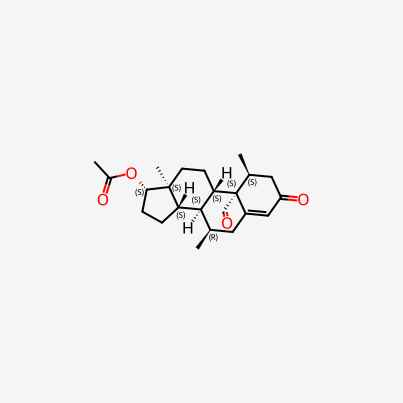 CC(=O)O[C@H]1CC[C@H]2[C@@H]3[C@H](C)CC4=CC(=O)C[C@H](C)[C@]4(C=O)[C@H]3CC[C@]12C